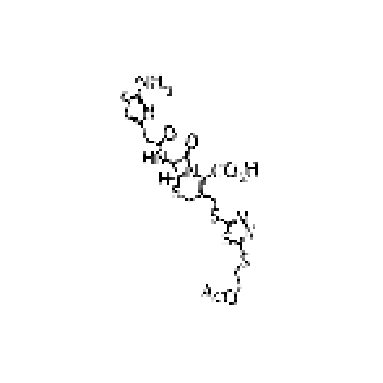 CC(=O)OCCSc1nnc(SCC2=C(C(=O)O)N3C(=O)C(NC(=O)Cc4csc(N)n4)[C@H]3SC2)s1